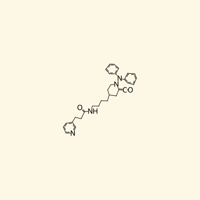 O=C=C1CC(CCCCNC(=O)CCc2cccnc2)CCN1N(c1ccccc1)c1ccccc1